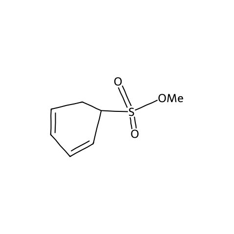 COS(=O)(=O)C1C=CC=CC1